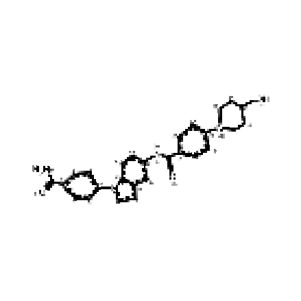 NC(=O)c1ccc(-n2ccc3cc(NC(=O)c4ccc(N5CCC(O)CC5)cc4)ccc32)cc1